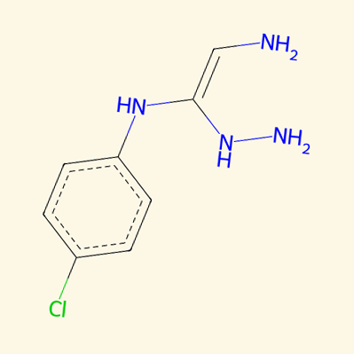 N/C=C(\NN)Nc1ccc(Cl)cc1